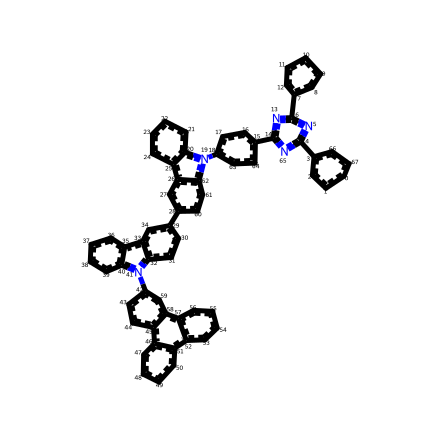 c1ccc(-c2nc(-c3ccccc3)nc(-c3ccc(-n4c5ccccc5c5cc(-c6ccc7c(c6)c6ccccc6n7-c6ccc7c8ccccc8c8ccccc8c7c6)ccc54)cc3)n2)cc1